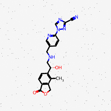 Cc1c([C@@H](O)CNCc2ccc(-n3cnc(C#N)n3)nc2)ccc2c1COC2=O